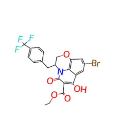 CCOC(=O)c1c(O)c2cc(Br)cc3c2n(c1=O)C(Cc1ccc(C(F)(F)F)cc1)CO3